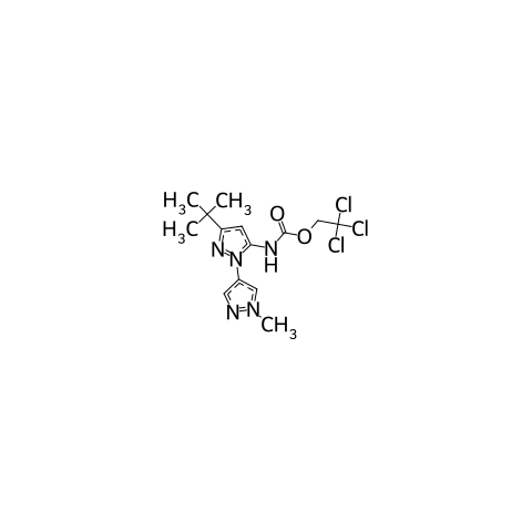 Cn1cc(-n2nc(C(C)(C)C)cc2NC(=O)OCC(Cl)(Cl)Cl)cn1